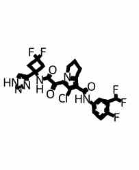 O=C(NC1(c2c[nH]nn2)CC(F)(F)C1)C(=O)c1c(Cl)c(C(=O)Nc2ccc(F)c(C(F)F)c2)c2n1CCC2